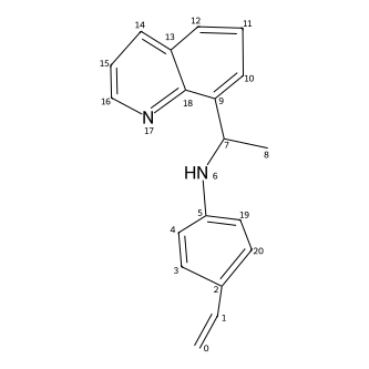 C=Cc1ccc(NC(C)c2cccc3cccnc23)cc1